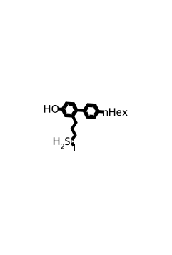 CCCCCCc1ccc(-c2ccc(O)cc2CCC[SiH2]I)cc1